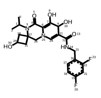 CC(C)N1C(=O)C2=C(O)C(O)C(C(=O)NCc3ccc(F)cc3F)=CN2CC12CC(O)C2